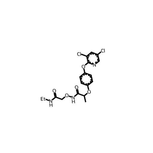 CCNC(=O)CONC(=O)C(C)Oc1ccc(Oc2ncc(Cl)cc2Cl)cc1